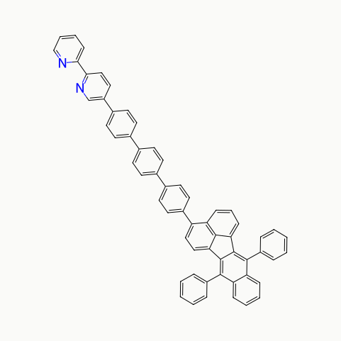 c1ccc(-c2c3c(c(-c4ccccc4)c4ccccc24)-c2ccc(-c4ccc(-c5ccc(-c6ccc(-c7ccc(-c8ccccn8)nc7)cc6)cc5)cc4)c4cccc-3c24)cc1